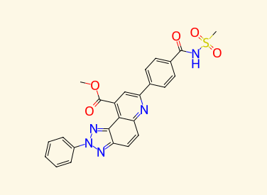 COC(=O)c1cc(-c2ccc(C(=O)NS(C)(=O)=O)cc2)nc2ccc3nn(-c4ccccc4)nc3c12